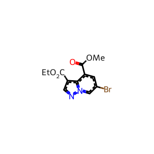 CCOC(=O)c1cnn2cc(Br)cc(C(=O)OC)c12